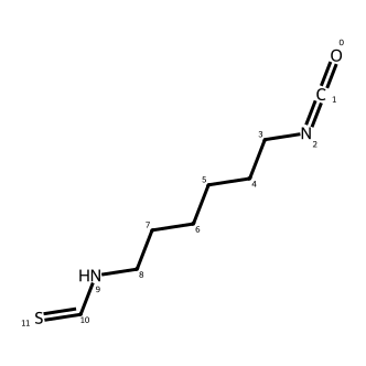 O=C=NCCCCCCNC=S